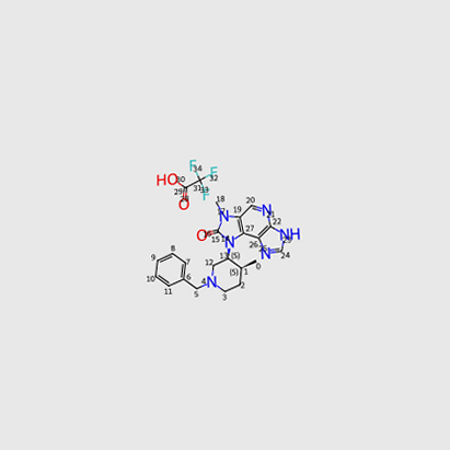 C[C@H]1CCN(Cc2ccccc2)C[C@H]1n1c(=O)n(C)c2cnc3[nH]cnc3c21.O=C(O)C(F)(F)F